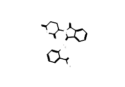 O=C(O)c1ccccc1O.O=C1CCC(N2C(=O)c3ccccc3C2=O)C(=O)N1